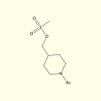 CC(=O)N1CCC(COS(C)(=O)=O)CC1